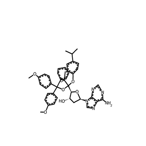 COc1ccc(C(OC(Oc2ccc(C(C)C)cc2)(C(C)=O)[C@H]2O[C@@H](n3cnc4c(N)ncnc43)C[C@@H]2O)(c2ccccc2)c2ccc(OC)cc2)cc1